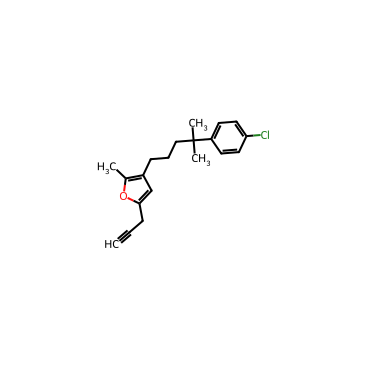 C#CCc1cc(CCCC(C)(C)c2ccc(Cl)cc2)c(C)o1